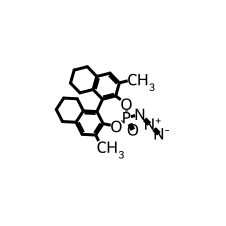 Cc1cc2c(c3c1OP(=O)(N=[N+]=[N-])Oc1c(C)cc4c(c1-3)CCCC4)CCCC2